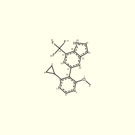 COc1ncnc(C2CC2)c1-c1nc(C(F)(F)F)c2[nH]ccc2n1